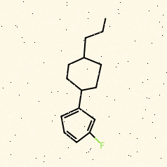 CCCC1CCC(c2cccc(F)c2)CC1